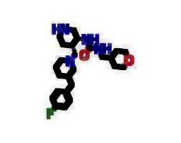 O=C(NCC1CCOCC1)N[C@H]1CNCC[C@H]1CN1CCCC(Cc2ccc(F)cc2)C1